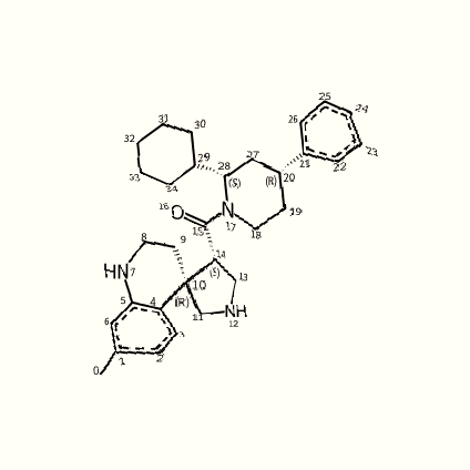 Cc1ccc2c(c1)NCC[C@]21CNC[C@H]1C(=O)N1CC[C@@H](c2ccccc2)C[C@H]1C1CCCCC1